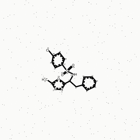 Cc1nnc(C(Cc2ccccc2)NS(=O)(=O)c2ccc(Cl)cc2)o1